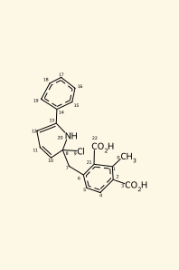 Cc1c(C(=O)O)ccc(CC2(Cl)C=CC=C(c3ccccc3)N2)c1C(=O)O